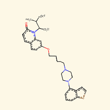 CCCCCCCCC(C(=O)O)C(C(=O)OCC)n1c(=O)ccc2ccc(OCCCCN3CCN(c4cccc5sccc45)CC3)cc21